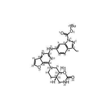 Cc1nn(C(=O)OC(C)(C)C)c2cc(Nc3nc(N4CC[C@H]5CNC(=O)O[C@@H]5C4)c4occc4n3)ccc12